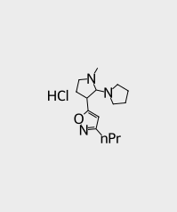 CCCc1cc(C2CCN(C)C2N2CCCC2)on1.Cl